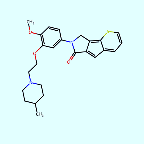 COc1ccc(N2Cc3c(cc4cccsc3-4)C2=O)cc1OCCN1CCC(C)CC1